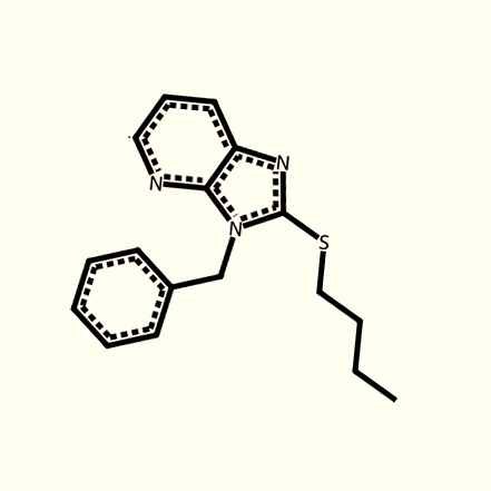 CCCCSc1nc2cc[c]nc2n1Cc1ccccc1